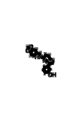 Oc1cccc(-c2cnc3ccc(NCc4ccc5c(c4)OCO5)nn23)c1